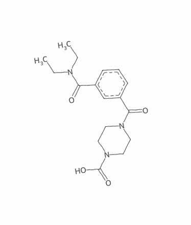 CCN(CC)C(=O)c1cccc(C(=O)N2CCN(C(=O)O)CC2)c1